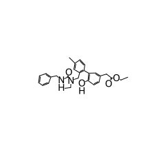 CCOC(=O)Cc1ccc(O)c(-c2ccc(C)cc2CN(CC)C(=O)NCc2ccccc2)c1